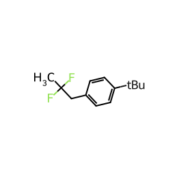 CC(F)(F)Cc1ccc(C(C)(C)C)cc1